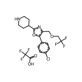 FC(F)(F)COCc1nc(C2CCNCC2)oc1-c1ccc(Cl)cc1.O=C(O)C(F)(F)F